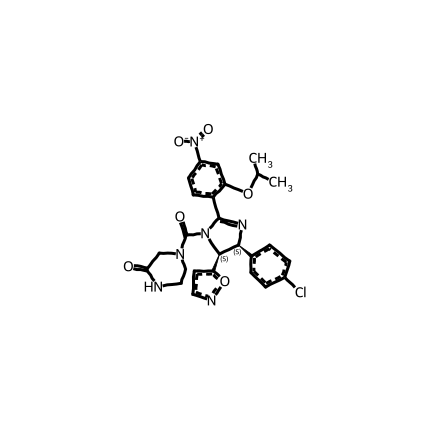 CC(C)Oc1cc([N+](=O)[O-])ccc1C1=N[C@@H](c2ccc(Cl)cc2)[C@@H](c2ccno2)N1C(=O)N1CCNC(=O)C1